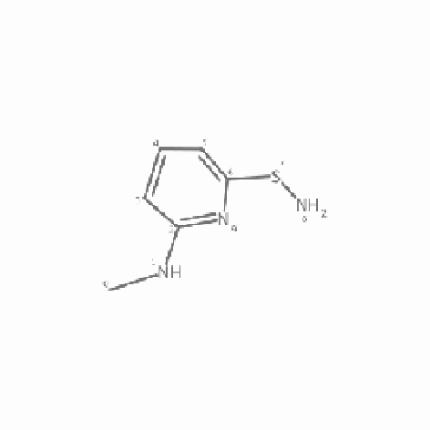 CNc1cccc(SN)n1